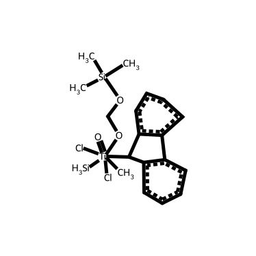 C[Si](C)(C)OC[O][Ti]([CH3])(=[O])([SiH3])([Cl])([Cl])[CH]1c2ccccc2-c2ccccc21